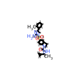 Cc1ccccc1C1CN(S(=O)(=O)c2ccc3c(c2)CCN3C(=O)NC(C)C2CC2)C(N)=N1